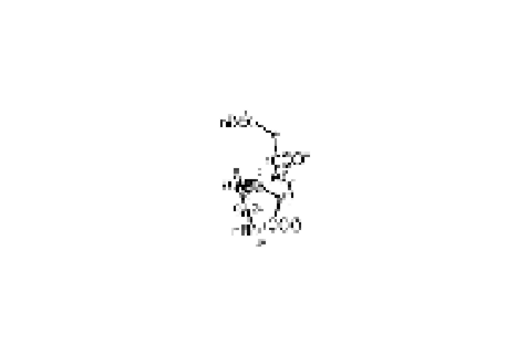 CC(C)=O.CCCCCCCCCCCC(=O)[O-].CCCCCCCCCCCC(=O)[O-].CCC[CH2][Sn+2][CH2]CCC